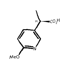 COc1ccc([C@@H](C)C(=O)O)cn1